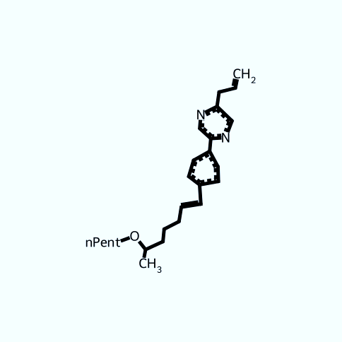 C=CCc1cnc(-c2ccc(C=CCCCC(C)OCCCCC)cc2)cn1